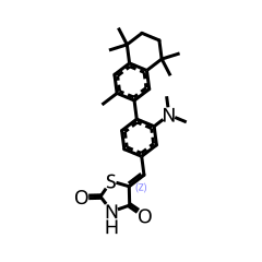 Cc1cc2c(cc1-c1ccc(/C=C3\SC(=O)NC3=O)cc1N(C)C)C(C)(C)CCC2(C)C